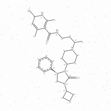 CC1=CC(Cl)NC(C)=C1C(=O)NCCC(C)N1CCC(N2C(=O)N(C3CCC3)C[C@H]2c2ccccc2)CC1